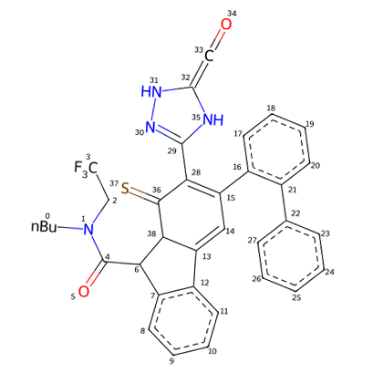 CCCCN(CC(F)(F)F)C(=O)C1c2ccccc2C2=CC(c3ccccc3-c3ccccc3)=C(C3=NNC(=C=O)N3)C(=S)C21